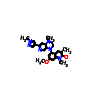 COc1cc(N2CCN(C)c3cc(-c4cnn(C)c4)ncc32)c2cc(C)c(=O)n(C)c2c1